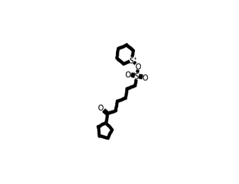 O=C(CCCCCS(=O)(=O)O[S+]1CCCCC1)C1CCCC1